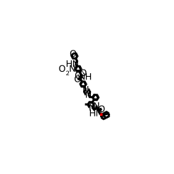 Cc1cc(-c2ccccc2CN2CCN(c3ccc(C(=O)NS(=O)(=O)c4ccc(NCC5CCOCC5)c([N+](=O)[O-])c4)cc3)CC2)c2nc(C(=O)NC3C4CC5CC(C4)CC3C5)cn2c1